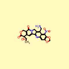 CC[C@@]1(O)C(=O)OCc2c1cc1n(c2=O)Cc2c-1nc1cc3c(c([N+](=O)[O-])c1c2CN)OCO3